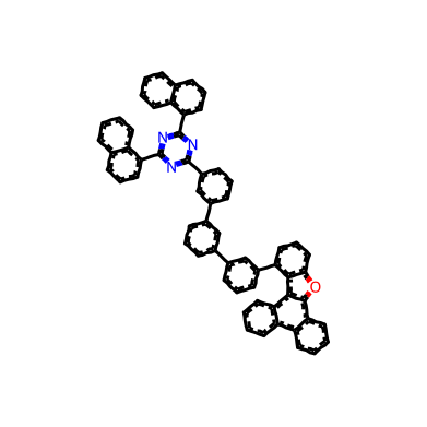 c1cc(-c2cccc(-c3nc(-c4cccc5ccccc45)nc(-c4cccc5ccccc45)n3)c2)cc(-c2cccc(-c3cccc4oc5c6ccccc6c6ccccc6c5c34)c2)c1